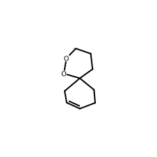 [CH]1CCC2(CC=CCC2)OO1